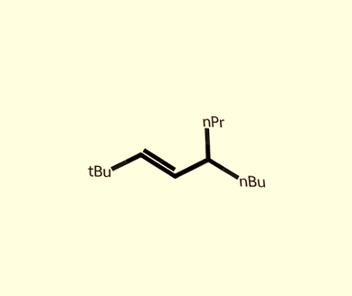 CCCCC(C=CC(C)(C)C)CCC